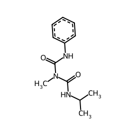 CC(C)NC(=O)N(C)C(=O)Nc1ccccc1